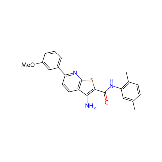 COc1cccc(-c2ccc3c(N)c(C(=O)Nc4cc(C)ccc4C)sc3n2)c1